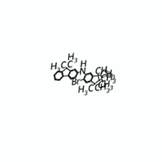 CC1(C)c2ccccc2-c2ccc(Nc3cc4c(cc3Br)C(C)(C)C(C)(C)C4(C)C)cc21